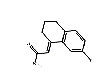 NC(=O)/C=C1\CCCc2ccc(F)cc21